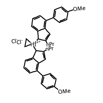 CCCC1=Cc2c(-c3ccc(OC)cc3)cccc2[CH]1[Hf+2]1([CH]2C(CCC)=Cc3c(-c4ccc(OC)cc4)cccc32)[CH2][CH2]1.[Cl-].[Cl-]